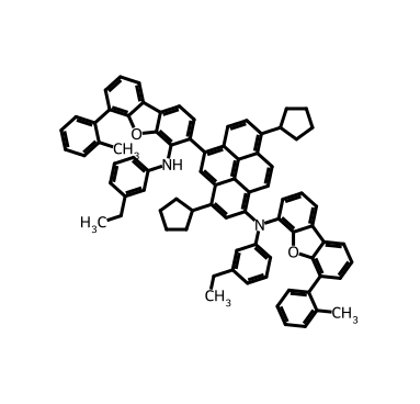 CCc1cccc(Nc2c(-c3cc4c(C5CCCC5)cc(N(c5cccc(CC)c5)c5cccc6c5oc5c(-c7ccccc7C)cccc56)c5ccc6c(C7CCCC7)ccc3c6c45)ccc3c2oc2c(-c4ccccc4C)cccc23)c1